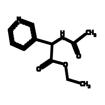 CCOC(=O)C(NC(C)=O)c1cccnc1